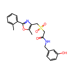 Cc1ccccc1-c1nc(CS(=O)(=O)CC(=O)NCc2cccc(O)c2)c(C)o1